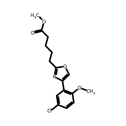 COC(=O)CCCCc1nc(-c2cc(Cl)ccc2OC)co1